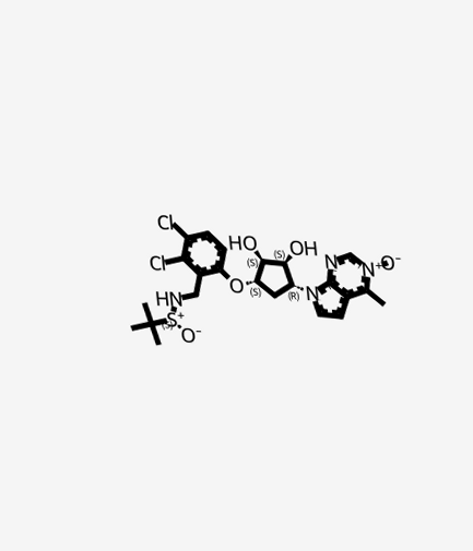 Cc1c2ccn([C@@H]3C[C@H](Oc4ccc(Cl)c(Cl)c4CN[S@+]([O-])C(C)(C)C)[C@@H](O)[C@H]3O)c2nc[n+]1[O-]